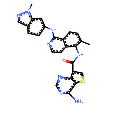 Cc1ccc2c(Nc3ccc4cnn(C)c4c3)nccc2c1NC(=O)c1csc2c(N)ncnc12